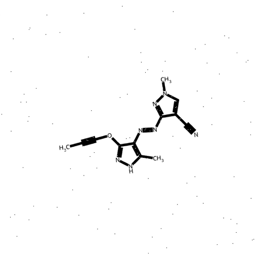 CC#COc1n[nH]c(C)c1N=Nc1nn(C)cc1C#N